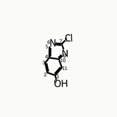 Oc1ccc2cnc(Cl)nc2c1